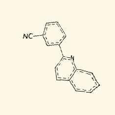 N#Cc1cccc(-c2ccc3ccccc3n2)c1